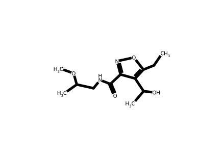 CCc1onc(C(=O)NCC(C)OC)c1C(C)O